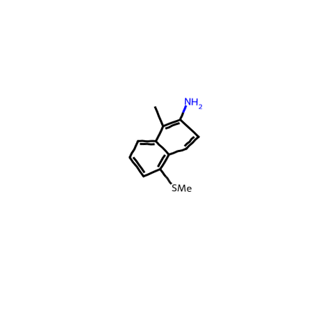 CSc1cccc2c(C)c(N)ccc12